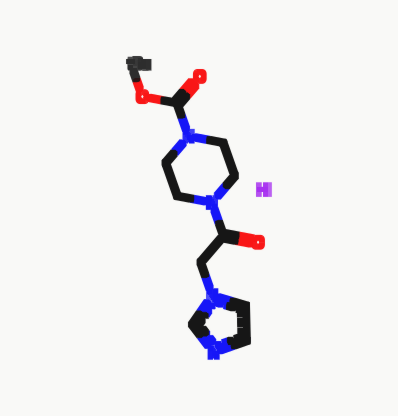 CC(C)(C)OC(=O)N1CCN(C(=O)Cn2ccnc2)CC1.I